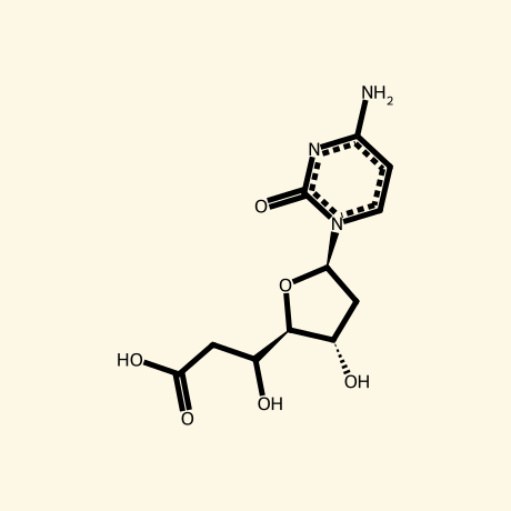 Nc1ccn([C@H]2C[C@H](O)[C@@H](C(O)CC(=O)O)O2)c(=O)n1